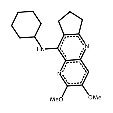 COc1cc2nc3c(c(NC4CCCCC4)c2nc1OC)CCC3